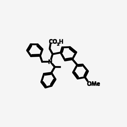 COc1ccc(-c2cccc(C(CC(=O)O)N(Cc3ccccc3)C(C)c3ccccc3)c2)cc1